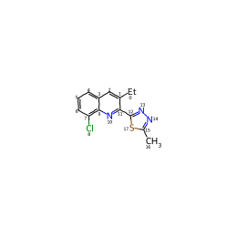 CCc1cc2cccc(Cl)c2nc1-c1nnc(C)s1